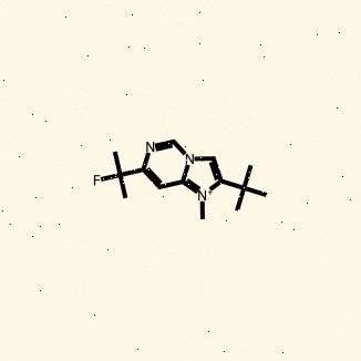 C[n+]1c(C(C)(C)C)cn2cnc(C(C)(C)F)cc21